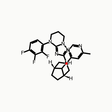 Cc1cc(N2C[C@H]3CC[C@@H](C2)C3Nc2nc3n(n2)CCCN3c2ccc(F)c(F)c2F)ncn1